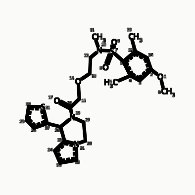 COc1cc(C)c(S(=O)(=O)N(C)CCOCC(=O)N2CCn3cccc3C2c2cccs2)c(C)c1